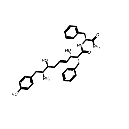 NC(=O)[C@H](Cc1ccccc1)NC(=O)[C@H](Cc1ccccc1)[C@@H](O)/C=C/C[C@H](O)[C@@H](N)Cc1ccc(O)cc1